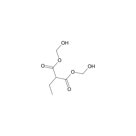 CCC(C(=O)OCO)C(=O)OCO